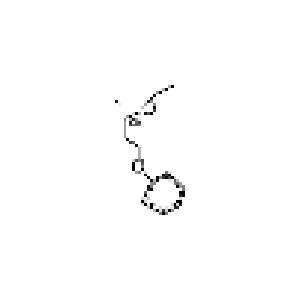 CCO[C@@H](C)CCOc1[c]cccc1